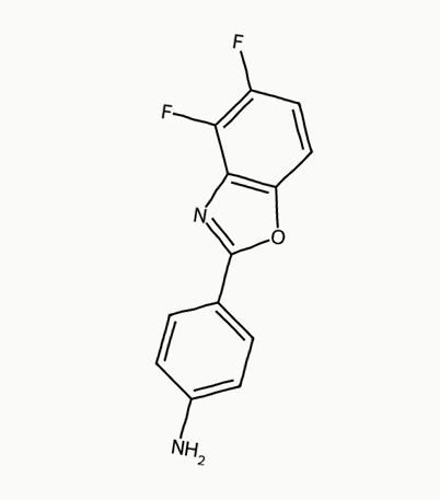 Nc1ccc(-c2nc3c(F)c(F)ccc3o2)cc1